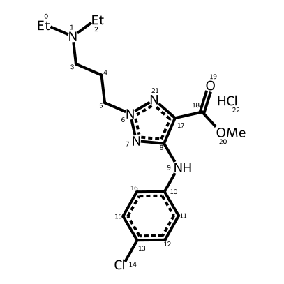 CCN(CC)CCCn1nc(Nc2ccc(Cl)cc2)c(C(=O)OC)n1.Cl